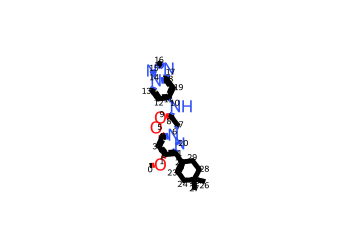 COc1cc(=O)n(CC(=O)Nc2ccn3ncnc3c2)nc1C1=CCC(C)(C)CC1